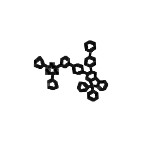 c1ccc(-c2ccc(-c3cc4c(cc3-c3ccc(-c5cccc(-c6nc(-c7ccccc7)nc(-c7ccccc7)n6)c5)cc3)C(c3ccccc3)(c3ccccc3)c3ccccc3-4)cc2)cc1